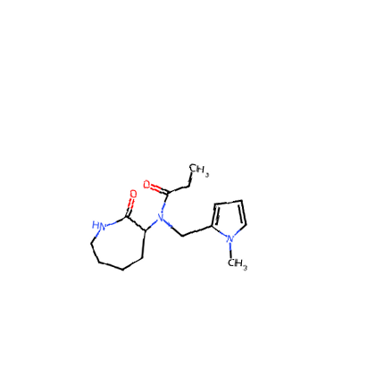 CCC(=O)N(Cc1cccn1C)C1CCCCNC1=O